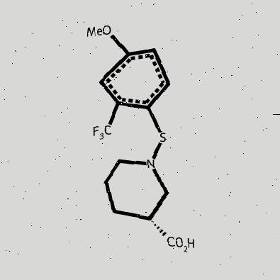 COc1ccc(SN2CCC[C@@H](C(=O)O)C2)c(C(F)(F)F)c1